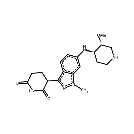 CO[C@@H]1CNCC[C@H]1Nc1ccc2c(C3CCC(=O)NC3=O)nn(C)c2c1